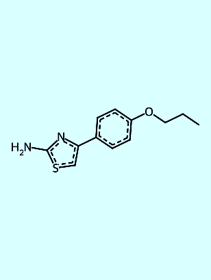 CCCOc1ccc(-c2csc(N)n2)cc1